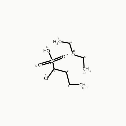 CCCC(Cl)S(=O)(=O)O.CCOCC